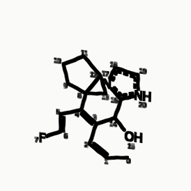 C\C=C/C(=C(\C=C\F)C12CCCC1C2)C(O)c1ncc[nH]1